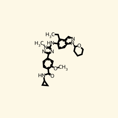 CCc1c(Nc2nc(-c3ccc(C(=O)NC4CC4)c(OC)c3)nn2C)ccc2c1cnn2C1CCCCO1